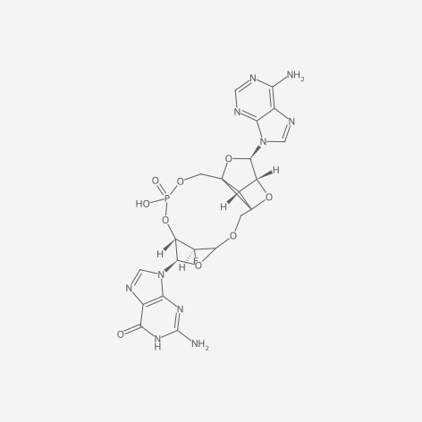 Nc1nc2c(ncn2[C@@H]2OC3OCC45O[C@@H]6[C@H]4C5(COP(=O)(O)O[C@@H]2[C@@H]3F)O[C@H]6n2cnc3c(N)ncnc32)c(=O)[nH]1